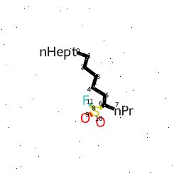 CCCCCCCCCCCCC(CCC)S(=O)(=O)F